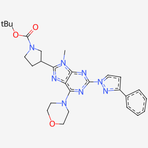 Cn1c(C2CCN(C(=O)OC(C)(C)C)C2)nc2c(N3CCOCC3)nc(-n3ccc(-c4ccccc4)n3)nc21